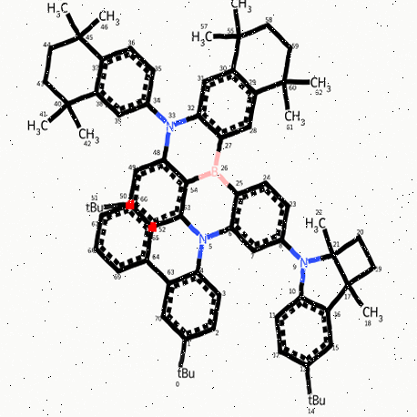 CC(C)(C)c1ccc(N2c3cc(N4c5ccc(C(C)(C)C)cc5C5(C)CCC45C)ccc3B3c4cc5c(cc4N(c4ccc6c(c4)C(C)(C)CCC6(C)C)c4cc(C(C)(C)C)cc2c43)C(C)(C)CCC5(C)C)c(-c2ccccc2)c1